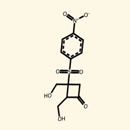 O=C1CC(CO)(S(=O)(=O)c2ccc([N+](=O)[O-])cc2)C1CO